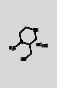 CN1CCNCC1CO.Cl.Cl